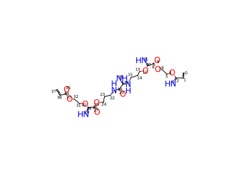 C=CC(=N)OCCOC(=O)C(=N)OCCCNC(=N)C(=O)NCCCOC(=O)C(=N)OCCOC(=O)C=C